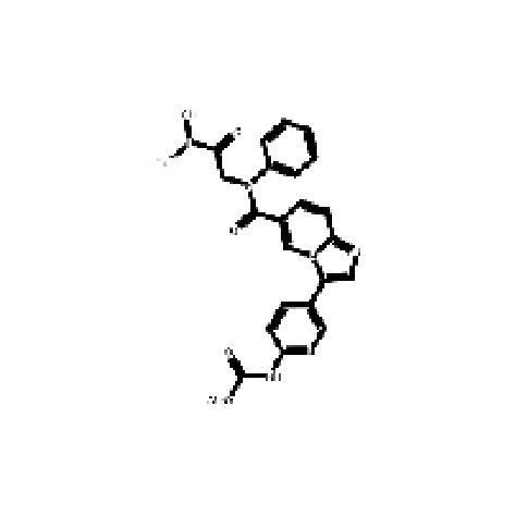 COC(=O)Nc1ccc(-c2cnc3ccc(C(=O)N(CC(=O)N(C)C)c4ccccc4)cn23)cn1